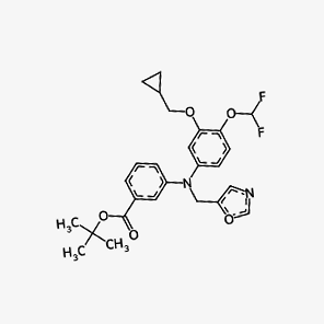 CC(C)(C)OC(=O)c1cccc(N(Cc2cnco2)c2ccc(OC(F)F)c(OCC3CC3)c2)c1